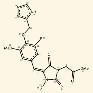 COC(=O)CN1C(=O)/C(=C\c2cc(F)c(OCc3nnc[nH]3)c(OC)c2)N(C)C1=S